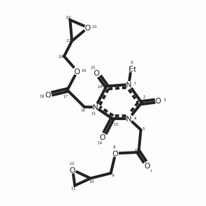 CCn1c(=O)n(CC(=O)OCC2CO2)c(=O)n(CC(=O)OCC2CO2)c1=O